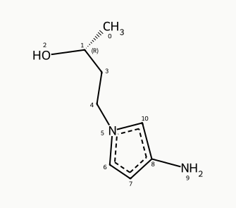 C[C@@H](O)CCn1ccc(N)c1